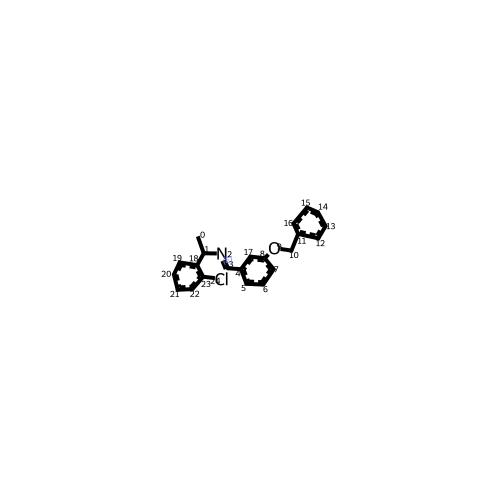 CC(/N=C/c1cccc(OCc2ccccc2)c1)c1ccccc1Cl